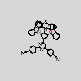 N#Cc1ccc(-c2cc(-c3cc(-n4c5ccccc5c5ccccc54)c(N4c5ccccc5Sc5ccccc54)c(-n4c5ccccc5c5ccccc54)c3)nc(-c3ccc(C#N)cc3)n2)cc1